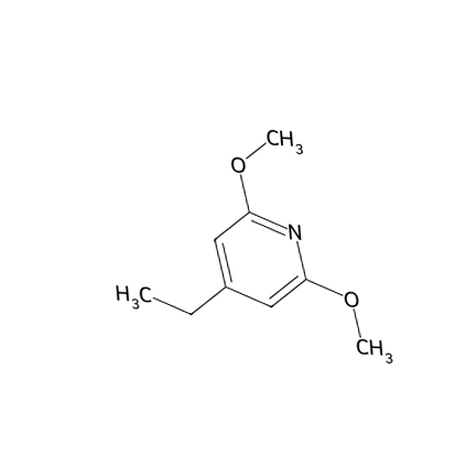 CCc1cc(OC)nc(OC)c1